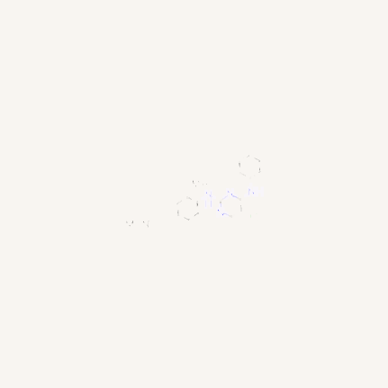 CNCCc1cc(OC)c(Nc2ncc(Cl)c(Nc3ccccc3C)n2)cc1C